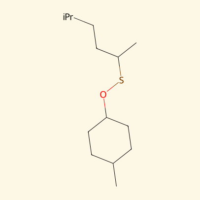 CC(C)CCC(C)SOC1CCC(C)CC1